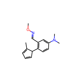 CON=Cc1cc(N(C)C)ccc1C1C=CC=C1C